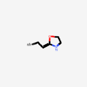 CCCCC=C1NCCO1